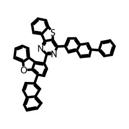 c1ccc(-c2ccc3cc(-c4nc(-c5ccc(-c6ccc7ccccc7c6)c6oc7ccccc7c56)nc5c4sc4ccccc45)ccc3c2)cc1